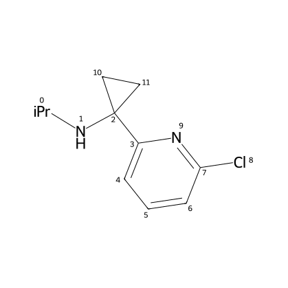 CC(C)NC1(c2cccc(Cl)n2)CC1